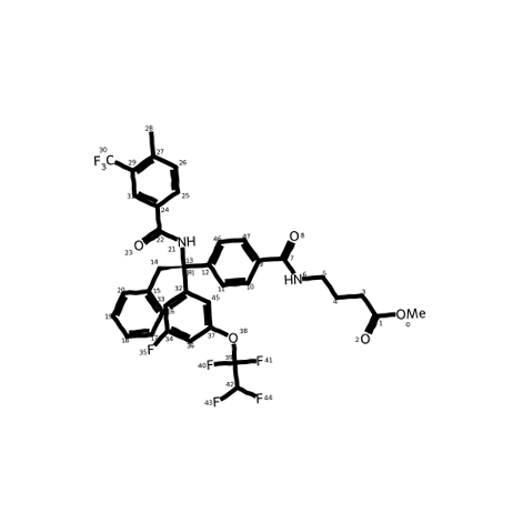 COC(=O)CCCNC(=O)c1ccc([C@@](Cc2ccccc2)(NC(=O)c2ccc(C)c(C(F)(F)F)c2)c2cc(F)cc(OC(F)(F)C(F)F)c2)cc1